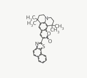 CC1(C)CCN2CCC(C)(C)c3c2c1cc1cc(-c2nc4ccc5ccccc5c4s2)c(=O)oc31